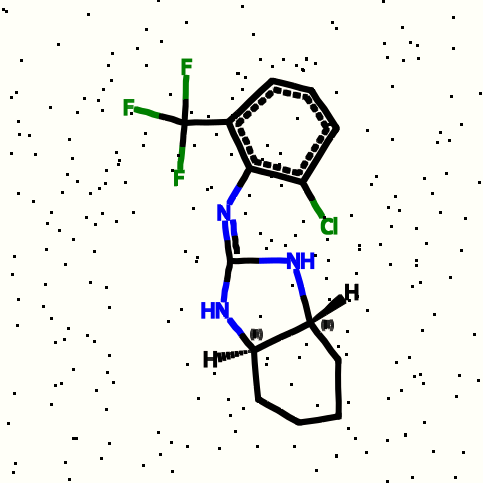 FC(F)(F)c1cccc(Cl)c1N=C1N[C@@H]2CCCC[C@H]2N1